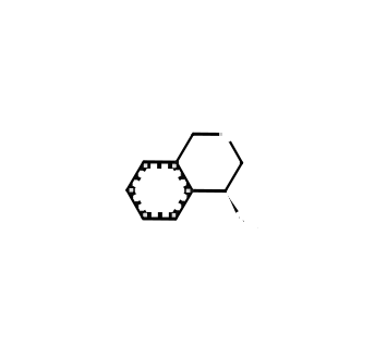 N[C@@H]1COCc2ccccc21